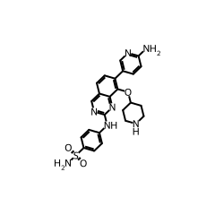 Nc1ccc(-c2ccc3cnc(Nc4ccc(S(N)(=O)=O)cc4)nc3c2OC2CCNCC2)cn1